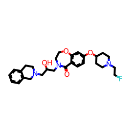 O=C1c2ccc(OC3CCN(CCF)CC3)cc2OCCN1CC(O)CN1CCc2ccccc2C1